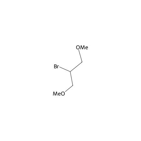 COCC(Br)COC